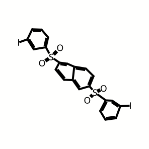 O=S(=O)(c1cccc(I)c1)c1ccc2cc(S(=O)(=O)c3cccc(I)c3)ccc2c1